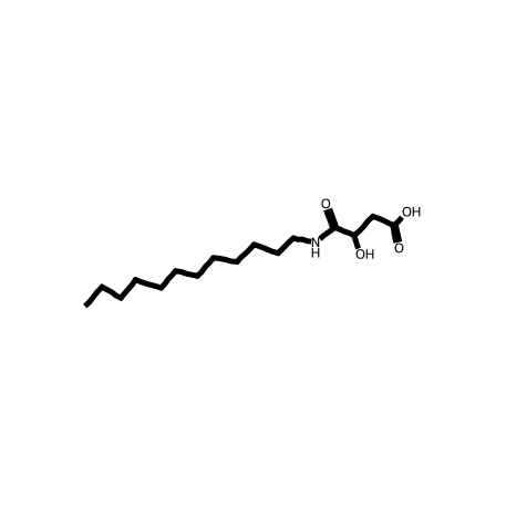 CCCCCCCCCCCCNC(=O)C(O)CC(=O)O